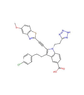 COc1ccc2sc(C#Cc3c(CCc4ccc(Cl)cc4)c4cc(C(=O)O)ccc4n3CCc3nn[nH]n3)nc2c1